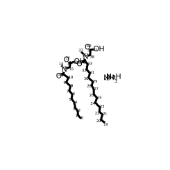 CCCCCCCCCCCC(=O)N(C)CC(=O)O.CCCCCCCCCCCCCCCC(=O)N(C)CC(=O)O.N.[NaH]